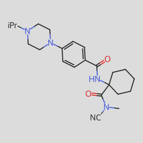 CC(C)N1CCN(c2ccc(C(=O)NC3(C(=O)N(C)C#N)CCCCC3)cc2)CC1